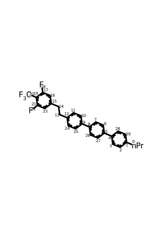 CCCc1ccc(-c2ccc(-c3ccc(CCc4cc(F)c(C(F)(F)F)c(F)c4)cc3)cc2)cc1